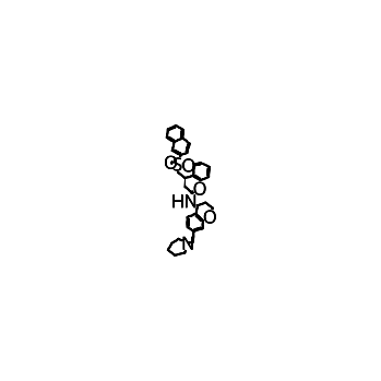 O=C(C[C@@H](CS(=O)(=O)c1ccc2ccccc2c1)c1ccccc1)N[C@@H]1CCOc2cc(CN3CCCCC3)ccc21